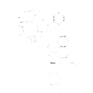 CC(=O)O[C@@]12CO[C@@H]1C[C@H](O)[C@@]1(C)C(=O)[C@H](O)C3=C(C)[C@@H](OC(=O)[C@H](OC(=O)CN4CCN(C)CC4)[C@@H](NC(=O)OC(C)(C)C)c4ccccc4)C[C@@](O)([C@@H](OC(=O)c4ccccc4)C12)C3(C)C